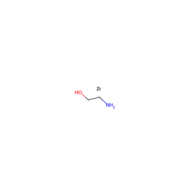 NCCO.[Zr]